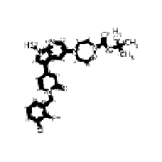 CC(C)(C)OC(=O)N1CCN(c2cnc3c(c2)c(C2C=CN(Cc4cccc(Cl)c4F)C(=O)C2)cn3S)CCO1